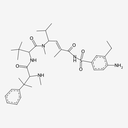 CCc1cc(S(=O)(=O)NC(=O)/C(C)=C/C(C(C)C)N(C)C(=O)C(NC(=O)C(NC)C(C)(C)c2ccccc2)C(C)(C)C)ccc1N